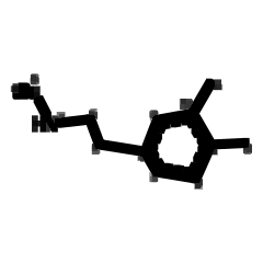 Cc1ccc(CCNC(C)(C)C)cc1C